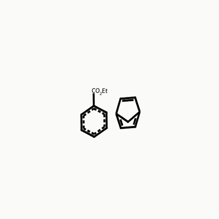 C1=CC2=CC=C1C2.CCOC(=O)c1ccccc1